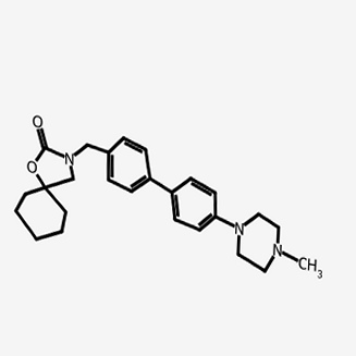 CN1CCN(c2ccc(-c3ccc(CN4CC5(CCCCC5)OC4=O)cc3)cc2)CC1